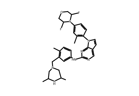 Cc1ccc(Nc2ncc3ccn(-c4ccc(N5C(F)COCC5F)cc4C)c3n2)cc1CN1CC(C)NC(C)C1